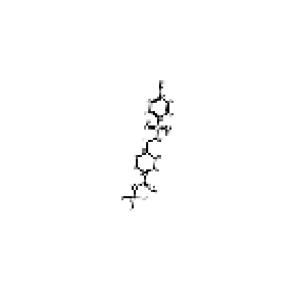 CC(C)(C)OC(=O)N1CCC(CCS(=O)(=O)c2ccc(F)cc2)CC1